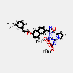 CC(C)(C)OC(=O)/N=C(\NC(=O)OC(C)(C)C)N1CCC[C@H]1c1nc(-c2ccc3cc(OCCc4cccc(C(F)(F)F)c4)ccc3c2)no1